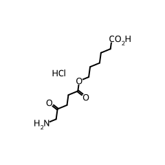 Cl.NCC(=O)CCC(=O)OCCCCCC(=O)O